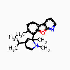 Cc1ccc2c(oc3ncccc32)c1C1(C)C=C(C(C)C)C=CN1C